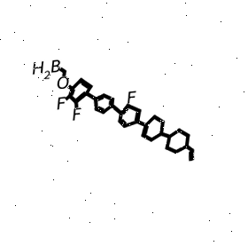 BCOc1ccc(-c2ccc(-c3ccc(C4=CCC(C5CCC(C=C)CC5)CC4)cc3F)cc2)c(F)c1F